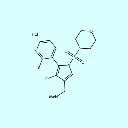 CNCc1cn(S(=O)(=O)N2CCOCC2)c(-c2cccnc2F)c1F.Cl